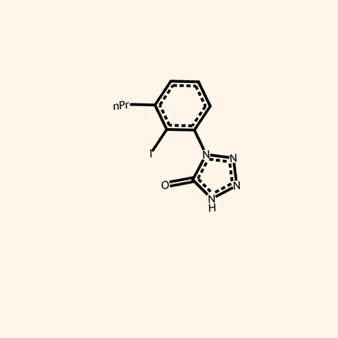 CCCc1cccc(-n2nn[nH]c2=O)c1I